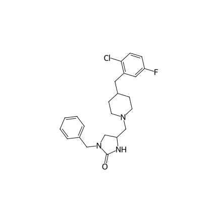 O=C1NC(CN2CCC(Cc3cc(F)ccc3Cl)CC2)CN1Cc1ccccc1